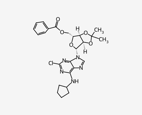 CC1(C)O[C@@H]2[C@H](O1)[C@@H](COC(=O)c1ccccc1)O[C@H]2n1cnc2c(NC3CCCC3)nc(Cl)nc21